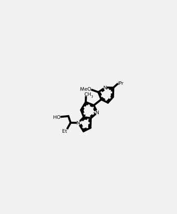 CCC(CO)n1ccc2nc(-c3ccc(C(C)C)nc3OC)c(C)cc21